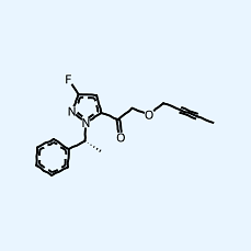 CC#CCOCC(=O)c1cc(F)nn1[C@H](C)c1ccccc1